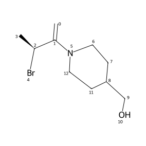 C=C([C@H](C)Br)N1CCC(CO)CC1